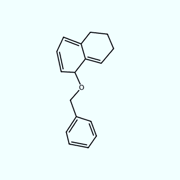 C1=CC(OCc2ccccc2)C2=CCCCC2=C1